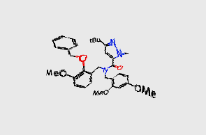 COc1ccc(CN(Cc2cccc(OC)c2OCc2ccccc2)C(=O)c2cc(C(C)(C)C)nn2C)c(OC)c1